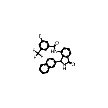 O=C(Nc1cccc2c1C(c1ccc3ccccc3c1)NC2=O)c1cc(F)cc(C(F)(F)F)c1